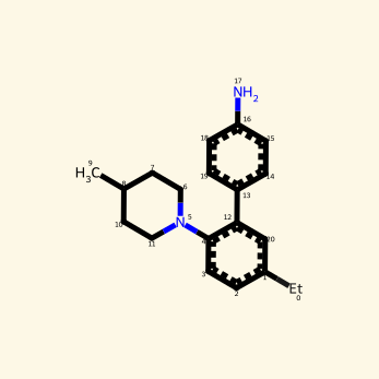 CCc1ccc(N2CCC(C)CC2)c(-c2ccc(N)cc2)c1